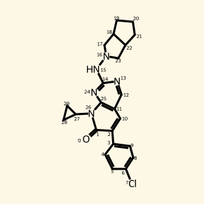 O=c1c(-c2ccc(Cl)cc2)cc2cnc(NN3CC4CCCC4C3)nc2n1C1CC1